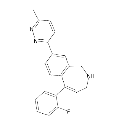 Cc1ccc(-c2ccc3c(c2)CNCC=C3c2ccccc2F)nn1